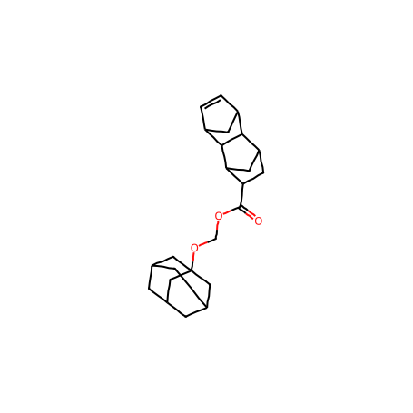 O=C(OCOC12CC3CC(CC(C3)C1)C2)C1CC2CC1C1C3C=CC(C3)C21